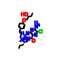 CCC[C@@H](CNC(=O)c1nc(Cl)c(N)nc1N)[N+](C)(C)CCCc1ccc(OC[C@@H](O)CC)cc1